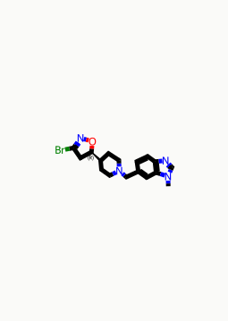 Cn1cnc2ccc(CN3CCC([C@H]4CC(Br)=NO4)CC3)cc21